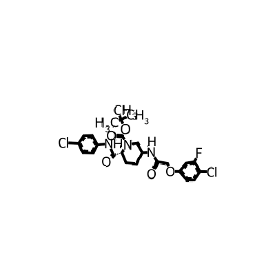 CC(C)(C)OC(=O)N1CC(NC(=O)COc2ccc(Cl)c(F)c2)CC[C@@H]1C(=O)Nc1ccc(Cl)cc1